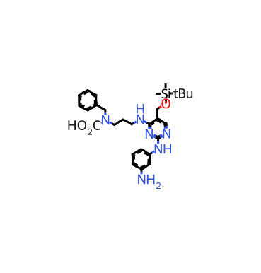 CC(C)(C)[Si](C)(C)OCc1cnc(Nc2cccc(N)c2)nc1NCCCN(Cc1ccccc1)C(=O)O